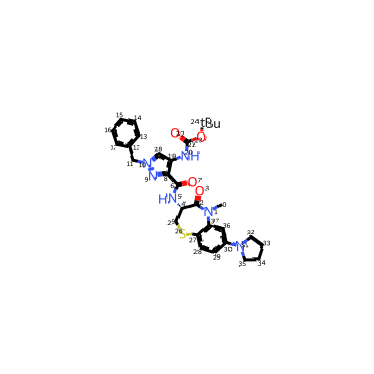 CN1C(=O)[C@@H](NC(=O)c2nn(Cc3ccccc3)cc2NC(=O)OC(C)(C)C)CSc2ccc(N3CCCC3)cc21